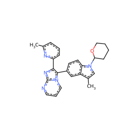 Cc1cccc(-c2nc3ncccn3c2-c2ccc3c(c2)c(C)cn3C2CCCCO2)n1